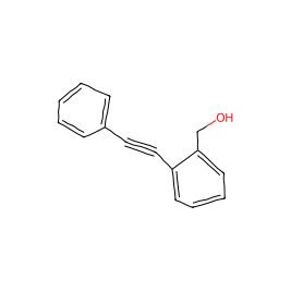 OCc1ccccc1C#Cc1ccccc1